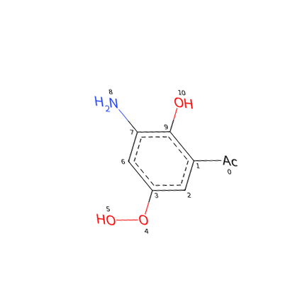 CC(=O)c1cc(OO)cc(N)c1O